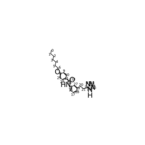 CCCCCCCOc1ccc(C(=O)Nc2cccc(CCc3nnn[nH]3)c2)cc1